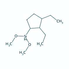 CCC1CCC([SiH](OC)OC)C1CC